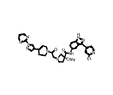 CCc1cc(-c2n[nH]c3ccc(NC(=O)[C@]4(OC)CCN(CC(=O)N5CC=C(c6cnn(-c7ncccn7)c6)CC5)C4)cc23)ccn1